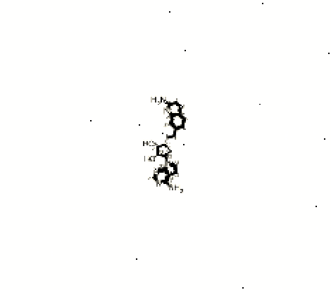 Nc1ccc2ccc(CC[C@@H]3S[C@@H](n4ccc5c(N)ncnc54)[C@H](O)[C@@H]3O)cc2n1